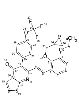 CCOc1cccc(C=Cc2nc3sccn3c(=O)c2-c2ccc(OC(F)(F)F)cc2)c1OCC1CC1